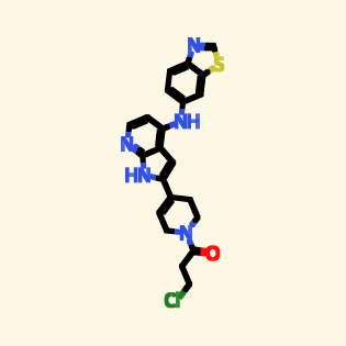 O=C(CCCl)N1CC=C(c2cc3c(Nc4ccc5ncsc5c4)ccnc3[nH]2)CC1